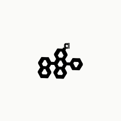 Clc1ccc2c(-c3cccc4ccccc34)c3ccccc3c(-c3ccccc3)c2c1